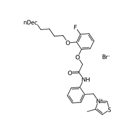 CCCCCCCCCCCCCCOc1c(F)cccc1OCC(=O)Nc1ccccc1C[n+]1cscc1C.[Br-]